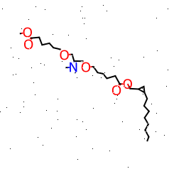 CCCCCCCCC1CC1COC(=O)CCCCCOCC(COCCCCCC(=O)OC)N(C)C